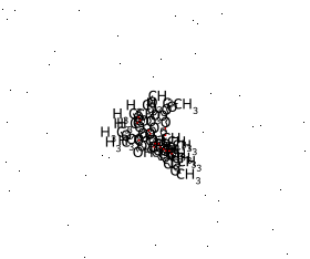 CCOC(C)OCC(COCC1CC2C=CC1C2)OCC(COC(C)OCC)OCC(COC(C)OCC)OCC(COC(C)OCC)OCC(COC(C)OCC)OCC(COC(C)OCC)OCC(COC(C)OCC)OCC(CO)OCC(COCC(OCC)OCC)CC(COCC(OCC)OCC)CC(COCC(OCC)OCC)CC(O)COCC(OCC)OCC